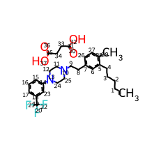 CCCCCc1cc(CCN2CCN(c3cccc(C(F)(F)F)c3)CC2)ccc1C.O=C(O)CCC(=O)O